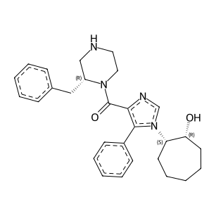 O=C(c1ncn([C@H]2CCCCC[C@H]2O)c1-c1ccccc1)N1CCNC[C@H]1Cc1ccccc1